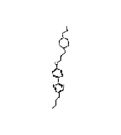 CCCCc1cnc(-c2ccc(OCCCC3CCC(CCC)CC3)cc2)nc1